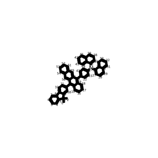 CC1(C)c2ccccc2-c2ccc(-c3c4ccccc4c(-c4ccc(N(c5cccc6ccccc56)c5cccc6ccccc56)cc4)c4cc5ccccc5cc34)cc21